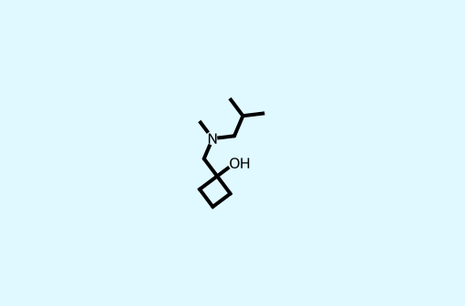 CC(C)CN(C)CC1(O)CCC1